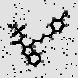 CS(=O)(=O)NC(=O)c1cc2ccccc2n1CCCOc1ccc(C(F)(F)F)cc1